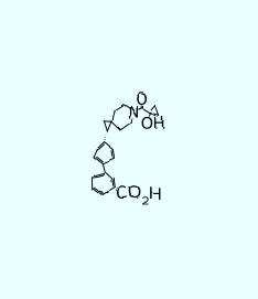 O=C(O)c1cccc(-c2ccc([C@@H]3CC34CCN(C(=O)C3(O)CC3)CC4)cc2)c1